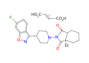 CCC12CCCCC1C(=O)N(N1CCC(c3noc4cc(F)ccc34)CC1)C2=O.O=C(O)/C=C/C(=O)O